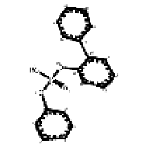 O=P(O)(Oc1ccccc1)Oc1ccccc1-c1ccccc1